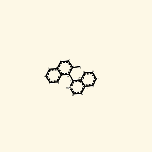 Cc1ccc2ccccc2c1-c1nccc2ccccc12